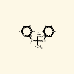 CC(Oc1ccccc1)(Oc1ccccn1)C(=O)O